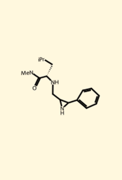 CNC(=O)[C@H](CC(C)C)NCC1NC1c1ccccc1